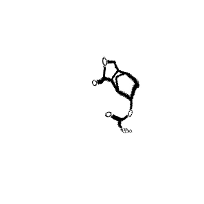 CC(C)(C)C(=O)OC1CC2CC1C1C(=O)OCC21